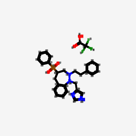 O=C(O)C(F)(F)F.O=S(=O)(c1ccccc1)C1Cc2ccccc2N(Cc2c[nH]cn2)N(CCc2ccccc2)C1